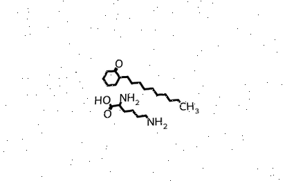 CCCCCCCCCCC1CCCCC1=O.NCCCCC(N)C(=O)O